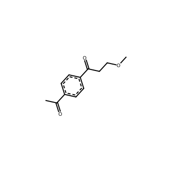 COCCC(=O)c1ccc(C(C)=O)cc1